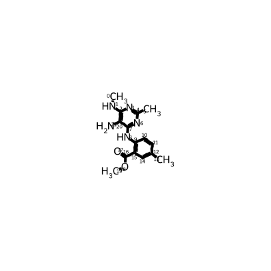 CNc1nc(C)nc(Nc2ccc(C)cc2C(=O)OC)c1N